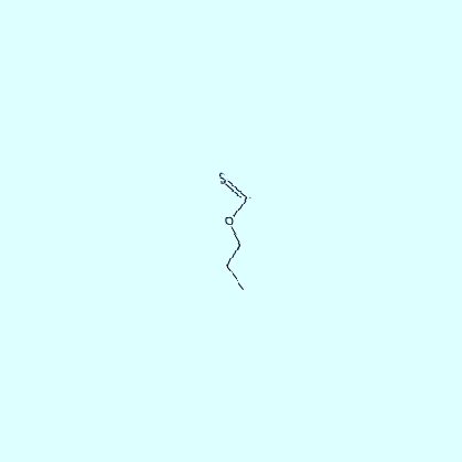 CCCO[C]=S